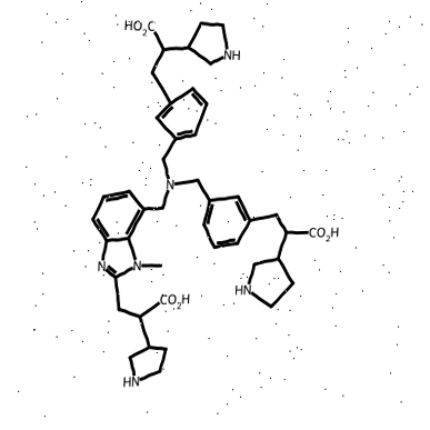 Cn1c(CC(C(=O)O)C2CCNC2)nc2cccc(CN(Cc3cccc(CC(C(=O)O)C4CCNC4)c3)Cc3cccc(CC(C(=O)O)C4CCNC4)c3)c21